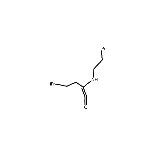 CC(C)CCNC(=C=O)CCC(C)C